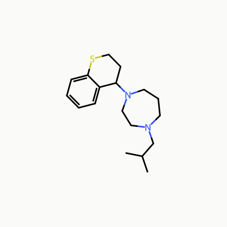 CC(C)CN1CCCN(C2CCSc3ccccc32)CC1